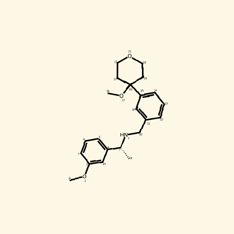 COc1cccc([C@@H](C)NCc2cccc(C3(OC)CCOCC3)c2)c1